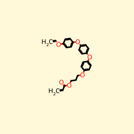 C=COc1ccc(Oc2ccc(Oc3ccc(OCCCOC(=O)C=C)cc3)cc2)cc1